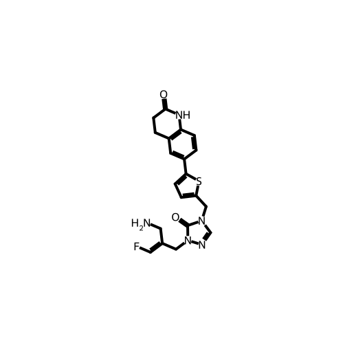 NC/C(=C\F)Cn1ncn(Cc2ccc(-c3ccc4c(c3)CCC(=O)N4)s2)c1=O